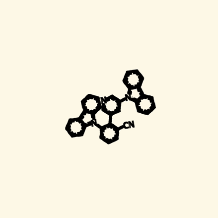 N#Cc1cccc(-n2c3ccccc3c3ccccc32)c1-c1cncc(-n2c3ccccc3c3ccccc32)c1